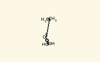 CN(C)CCCCCCCCCCCSCC(=O)c1ccc(B(O)O)cc1